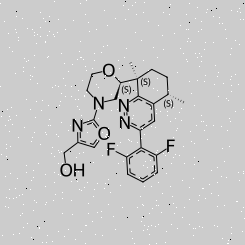 C[C@H]1CC[C@](C)([C@H]2CN(c3nc(CO)co3)CCO2)c2nnc(-c3c(F)cccc3F)cc21